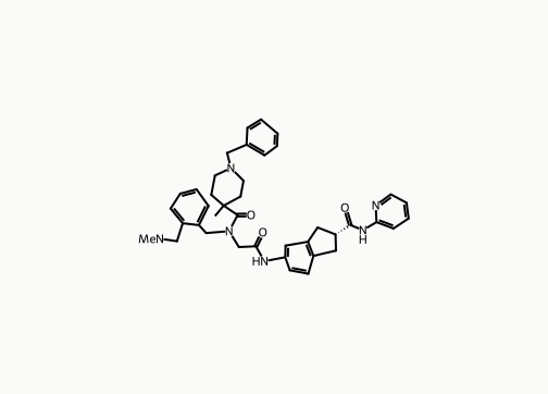 CNCc1ccccc1CN(CC(=O)Nc1ccc2c(c1)C[C@H](C(=O)Nc1ccccn1)C2)C(=O)C1(C)CCN(Cc2ccccc2)CC1